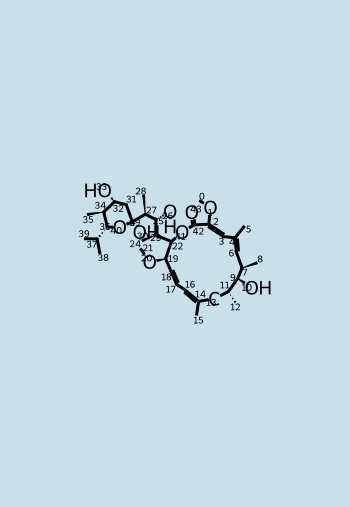 CO/C1=C\C(C)=C\[C@@H](C)[C@@H](O)[C@H](C)C/C(C)=C/C=C/[C@@H](OC)C([C@@H](C)[C@@H](O)[C@H](C)[C@@]2(O)C[C@@H](O)[C@H](C)[C@@H](C(C)C)O2)OC1=O